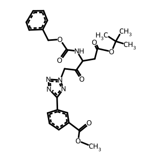 COC(=O)c1cccc(-c2nnn(CC(=O)C(CC(=O)OC(C)(C)C)NC(=O)OCc3ccccc3)n2)c1